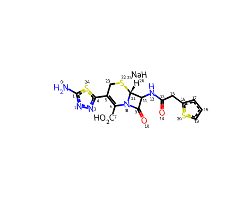 Nc1nnc(C2=C(C(=O)O)N3C(=O)C(NC(=O)Cc4cccs4)[C@H]3SC2)s1.[NaH]